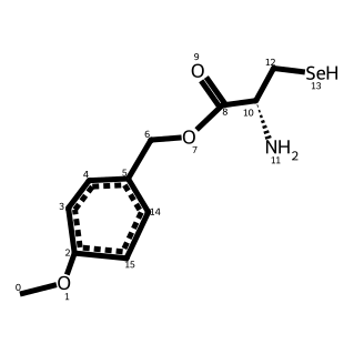 COc1ccc(COC(=O)[C@@H](N)C[SeH])cc1